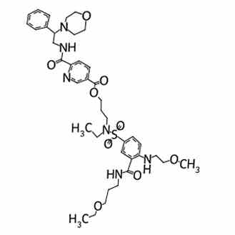 CCOCCCNC(=O)c1cc(S(=O)(=O)N(CC)CCCOC(=O)c2ccc(C(=O)NCC(c3ccccc3)N3CCOCC3)nc2)ccc1NCCOC